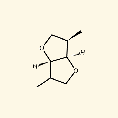 CC1CO[C@@H]2[C@H](C)CO[C@H]12